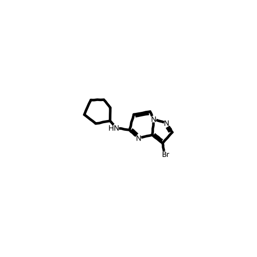 Brc1cnn2ccc(NC3CCCCC3)nc12